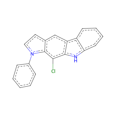 Clc1c2[nH]c3ccccc3c2cc2ccn(-c3ccccc3)c12